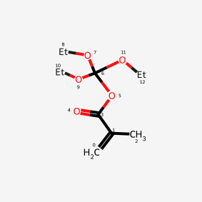 C=C(C)C(=O)OC(OCC)(OCC)OCC